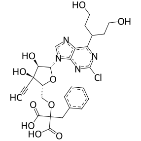 C#C[C@@]1(O)[C@@H](COC(Cc2ccccc2)(C(=O)O)C(=O)O)O[C@@H](n2cnc3c(C(CCO)CCO)nc(Cl)nc32)[C@@H]1O